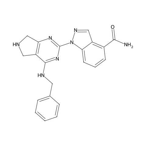 NC(=O)c1cccc2c1cnn2-c1nc2c(c(NCc3ccccc3)n1)CNC2